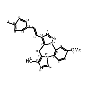 COc1ccc2c(c1)-n1nnc(/C=C/c3ccc(C)cc3)c1Cc1c(C#N)ncn1-2